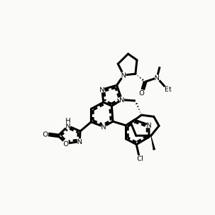 CCN(C)C(=O)[C@H]1CCCN1c1nc2cc(-c3noc(=O)[nH]3)nc(-c3cncc(Cl)c3)c2n1C[C@H]1CC[C@H](C)CC1